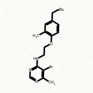 CCC(C)Cc1ccc(OCCNc2ncnc(C)c2Br)c(C)c1